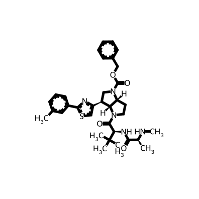 CN[C@@H](C)C(=O)N[C@H](C(=O)N1CC[C@@H]2[C@H]1[C@@H](c1csc(-c3cccc(C)c3)n1)CN2C(=O)OCc1ccccc1)C(C)(C)C